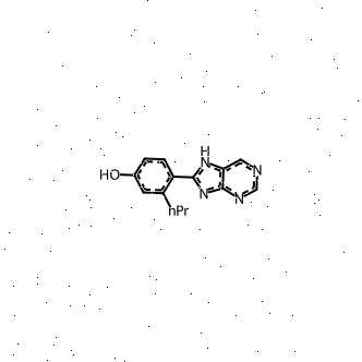 CCCc1cc(O)ccc1-c1nc2ncncc2[nH]1